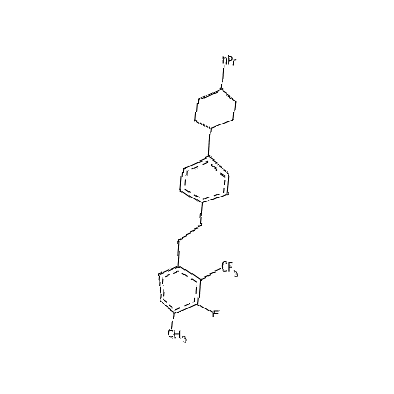 CCCC1CCC(c2ccc(CCc3ccc(C)c(F)c3C(F)(F)F)cc2)CC1